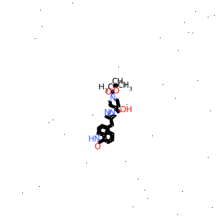 CC(C)(C)OC(=O)N1CCC(CO)(n2cc(Cc3ccc4c5c(cccc35)C(=O)N4)cn2)CC1